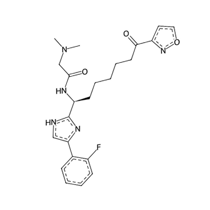 CN(C)CC(=O)N[C@@H](CCCCCC(=O)c1ccon1)c1nc(-c2ccccc2F)c[nH]1